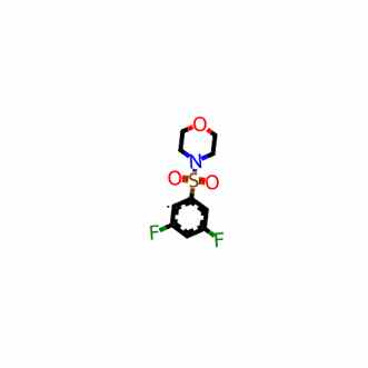 O=S(=O)(c1[c]c(F)cc(F)c1)N1CCOCC1